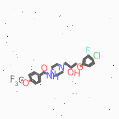 O=C(NN1CCN(CC(O)COc2ccc(Cl)c(F)c2)CC1)c1ccc(OC(F)(F)F)cc1